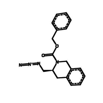 [N-]=[N+]=NC[C@@H]1Cc2ccccc2CN1C(=O)OCc1ccccc1